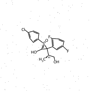 C[C@H](CO)C1(c2cc(F)ccc2F)C(O)=S1(=O)c1ccc(Cl)cc1